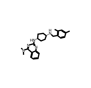 Cc1ccc(CN[C@H]2CC[C@@H](Nc3nc(N(C)C)c4ccccc4n3)CC2)c(C)c1